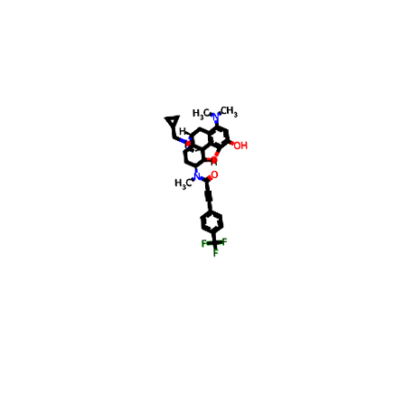 CN(C)c1cc(O)c2c3c1C[C@@H]1[C@@H]4CC[C@H](N(C)C(=O)C#Cc5ccc(C(F)(F)F)cc5)[C@H](O2)[C@]34CCN1CC1CC1